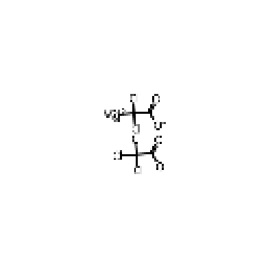 O=C([O-])C(Cl)(Cl)Cl.O=C([O-])C(Cl)(Cl)Cl.[Mg+2]